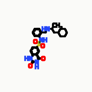 C[C@@H](CC1CCCCC1)NCc1ccccc1NS(=O)(=O)c1ccc2[nH]c(=O)[nH]c(=O)c2c1